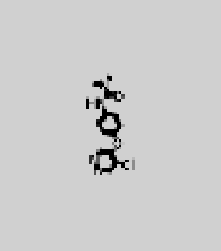 CN(C)C(=O)Nc1ccc(Oc2cnncc2Cl)cc1